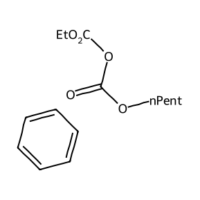 CCCCCOC(=O)OC(=O)OCC.c1ccccc1